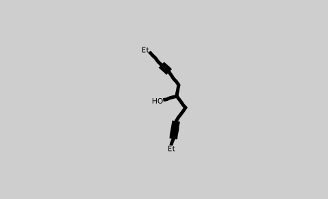 CCC#CCC(O)CC#CCC